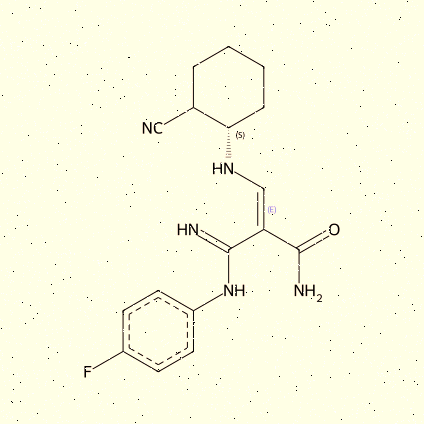 N#CC1CCCC[C@@H]1N/C=C(\C(=N)Nc1ccc(F)cc1)C(N)=O